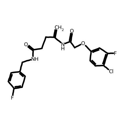 C=C(CCC(=O)NCc1ccc(F)cc1)NC(=O)COc1ccc(Cl)c(F)c1